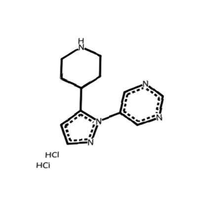 Cl.Cl.c1ncc(-n2nccc2C2CCNCC2)cn1